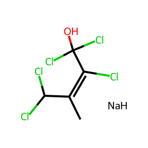 CC(=C(Cl)C(O)(Cl)Cl)C(Cl)Cl.[NaH]